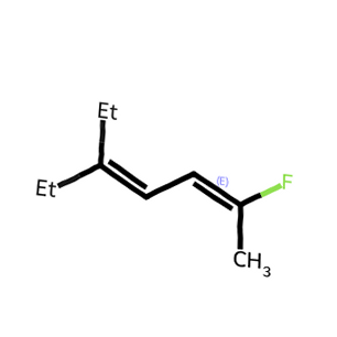 CCC(=C/C=C(\C)F)CC